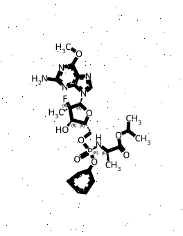 COc1nc(N)nc2c1ncn2[C@@H]1O[C@H](CO[P@](=O)(N[C@H](C)C(=O)OC(C)C)Oc2ccccc2)[C@@H](O)[C@@]1(C)F